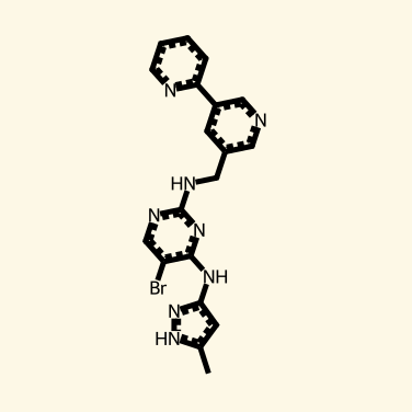 Cc1cc(Nc2nc(NCc3cncc(-c4ccccn4)c3)ncc2Br)n[nH]1